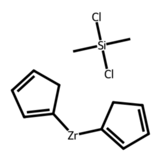 C1=CC[C]([Zr][C]2=CC=CC2)=C1.C[Si](C)(Cl)Cl